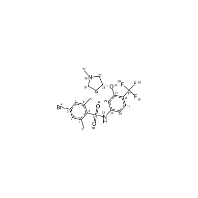 Cc1cc(Br)cc(C)c1S(=O)(=O)Nc1ccc(C(F)(F)F)c(O[C@@H]2CCN(C)C2)c1